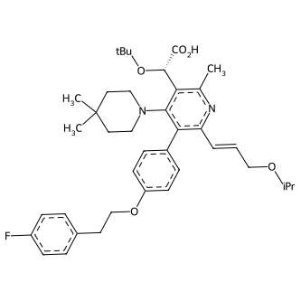 Cc1nc(C=CCOC(C)C)c(-c2ccc(OCCc3ccc(F)cc3)cc2)c(N2CCC(C)(C)CC2)c1[C@H](OC(C)(C)C)C(=O)O